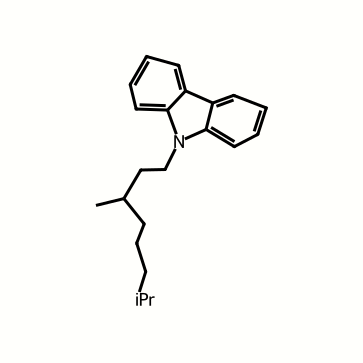 CC(C)CCCC(C)CCn1c2ccccc2c2ccccc21